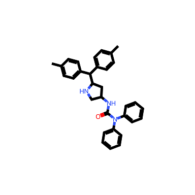 Cc1ccc(C(c2ccc(C)cc2)C2CC(NC(=O)N(c3ccccc3)c3ccccc3)CN2)cc1